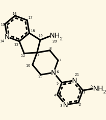 Nc1cncc(N2CCC3(CC2)Cc2ncccc2C3N)n1